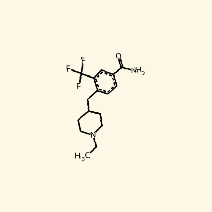 CCN1CCC(Cc2ccc(C(N)=O)cc2C(F)(F)F)CC1